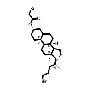 CC(C)CCC[C@@H](C)[C@H]1CCC2[C@@H]3CC=C4C[C@@H](OC(=O)CBr)CC[C@]4(C)C3CC[C@@]21C